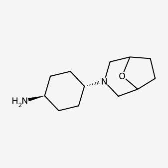 N[C@H]1CC[C@H](N2CC3CCC(C2)O3)CC1